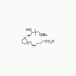 CC(C)COCC(C)(C)C(O)/C=C/[C@H]1CCC[C@@H]1C/C=C\CCCC(=O)O